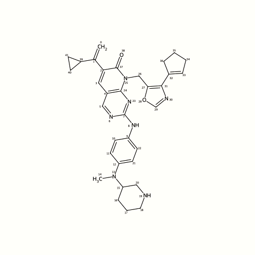 C=C(c1cc2cnc(Nc3ccc(N(C)C4CCCNC4)cc3)nc2n(Cc2ocnc2C2=CCCC2)c1=O)C1CC1